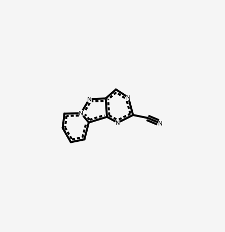 N#Cc1ncc2nn3ccccc3c2n1